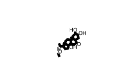 CCO/N=C(/C)C1CC[C@@]2(O)C3=CC(=O)C4CC(O)C(O)CC4(C)C3CCC12C